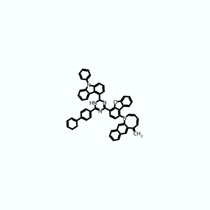 C=C1/C=C\C=C/N(c2ccc(C3=NC(c4cccc5c4c4ccccc4n5-c4ccccc4)NC(c4ccc(C5=CC=CCC5)cc4)=N3)c3oc4ccccc4c23)c2cc3ccccc3cc21